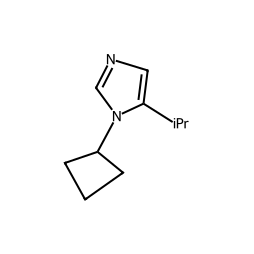 CC(C)c1cncn1C1CCC1